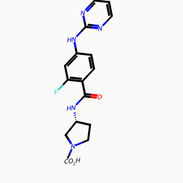 O=C(N[C@@H]1CCN(C(=O)O)C1)c1ccc(Nc2ncccn2)cc1F